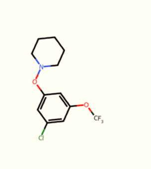 FC(F)(F)Oc1cc(Cl)cc(ON2CCCCC2)c1